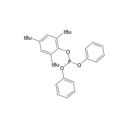 CC(C)(C)c1cc(C(C)(C)C)c(OP(Oc2ccccc2)Oc2ccccc2)c(C(C)(C)C)c1